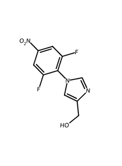 O=[N+]([O-])c1cc(F)c(-n2cnc(CO)c2)c(F)c1